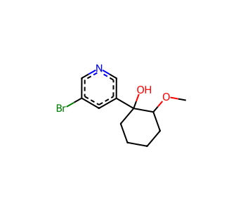 COC1CCCCC1(O)c1cncc(Br)c1